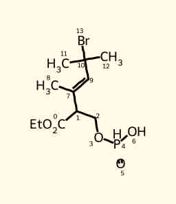 CCOC(=O)C(CO[PH](=O)O)/C(C)=C/C(C)(C)Br